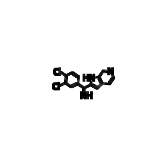 N=C(c1ccc(Cl)c(Cl)c1)c1cc2ccncc2[nH]1